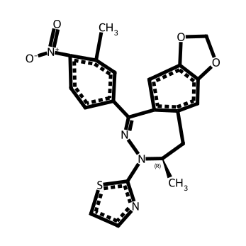 Cc1cc(C2=NN(c3nccs3)[C@H](C)Cc3cc4c(cc32)OCO4)ccc1[N+](=O)[O-]